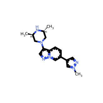 C[C@@H]1CN(c2cnn3cc(-c4cnn(C)c4)ccc23)C[C@@H](C)N1